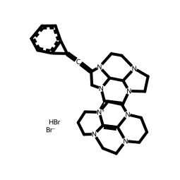 Br.C(=C1c2ccccc21)=C1CN2C3C4N(CCN4C[C@H]2[N+]24CCCN5CCN6CCCN(CC2)C6=C54)CCN13.[Br-]